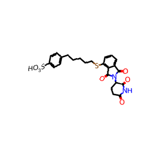 O=C1CCC(N2C(=O)c3cccc(SCCCCCc4ccc(S(=O)(=O)O)cc4)c3C2=O)C(=O)N1